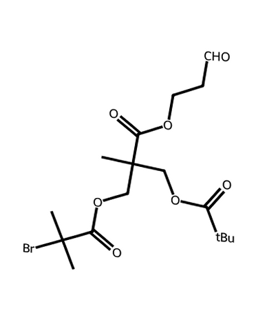 CC(C)(C)C(=O)OCC(C)(COC(=O)C(C)(C)Br)C(=O)OCCC=O